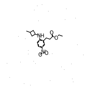 CCOC(=O)CCc1cc([N+](=O)[O-])ccc1NC1CC(C)C1